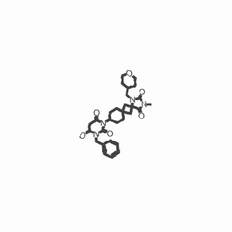 CN1C(=O)N(CC2CCOCC2)C2(CC3(CCC(N4C(=O)CC(=O)N(Cc5ccccc5)C4=O)CC3)C2)C1=O